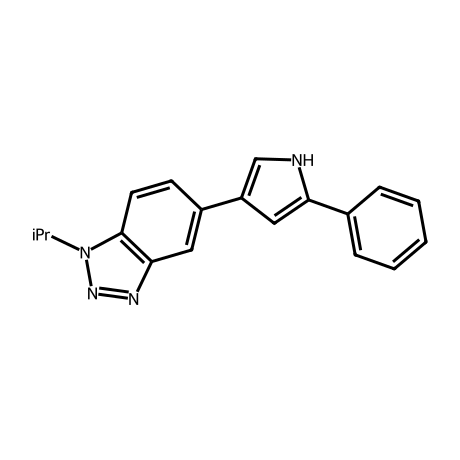 CC(C)n1nnc2cc(-c3c[nH]c(-c4ccccc4)c3)ccc21